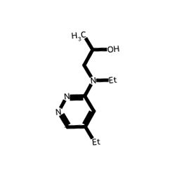 CCc1[c]nnc(N(CC)CC(C)O)c1